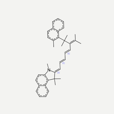 CC(C)=C(/C=C/C=C/C=C1\N(C)c2ccc3ccccc3c2C1(C)C)C(C)(C)c1c(C)ccc2ccccc12